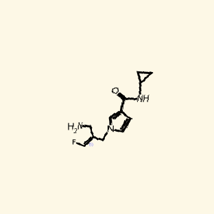 NC/C(=C\F)Cn1ccc(C(=O)NC2CC2)c1